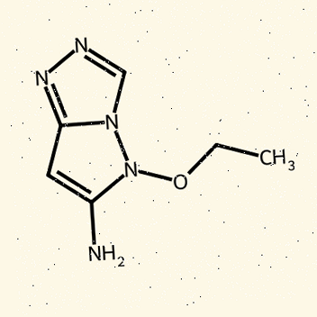 CCOn1c(N)cc2nncn21